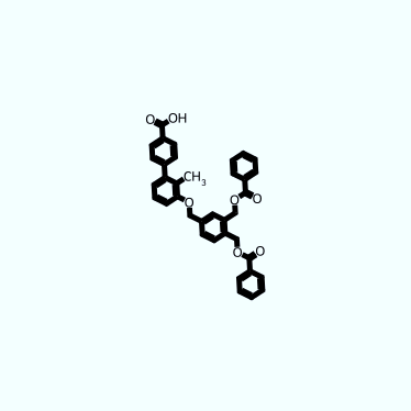 Cc1c(OCc2ccc(COC(=O)c3ccccc3)c(COC(=O)c3ccccc3)c2)cccc1-c1ccc(C(=O)O)cc1